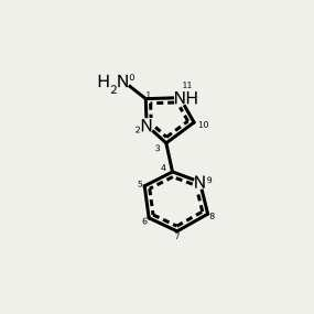 Nc1nc(-c2ccccn2)c[nH]1